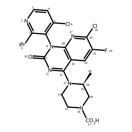 CC(C)c1nccc(Cl)c1-n1c(=O)nc(N2CCN(C(=O)O)C[C@@H]2C)c2cc(F)c(Cl)nc21